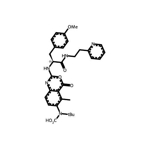 COc1ccc(C[C@H](Nc2nc3ccc(N(C(=O)O)C(C)(C)C)c(C)c3c(=O)o2)C(=O)NCCc2ccccn2)cc1